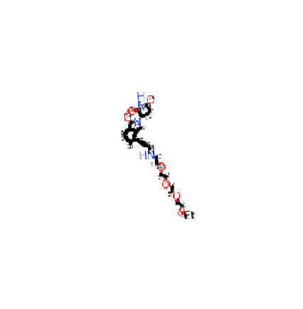 CCOCCOCCOCCOCCNCC#Cc1cccc2c1CN(C1CCC(=O)NC1=O)C2=O